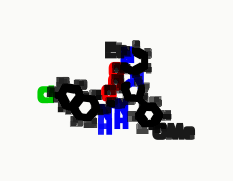 CCn1cccc(N2C[C@@H](c3ccc(OC)cc3)C(NC(=O)NC3CCc4cc(Cl)ccc4C3)C2=O)c1=O